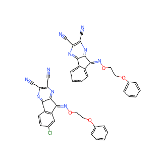 N#Cc1nc2c(nc1C#N)-c1ccc(Cl)cc1C2=NOCCOc1ccccc1.N#Cc1nc2c(nc1C#N)-c1ccccc1C2=NOCCOc1ccccc1